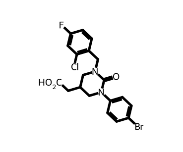 O=C(O)CC1CN(Cc2ccc(F)cc2Cl)C(=O)N(c2ccc(Br)cc2)C1